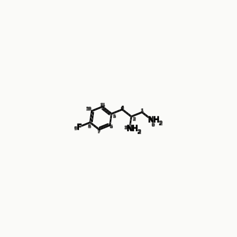 NCC(N)Cc1ccc(F)cc1